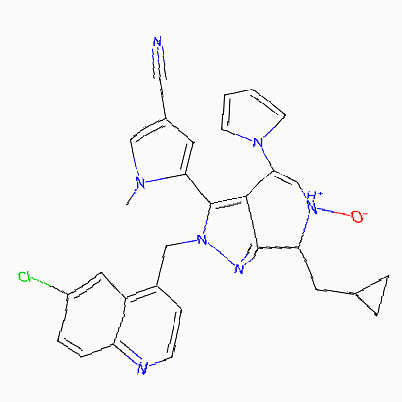 Cn1cc(C#N)cc1-c1c2c(nn1Cc1ccnc3ccc(Cl)cc13)C(CC1CC1)[NH+]([O-])C=C2n1cccc1